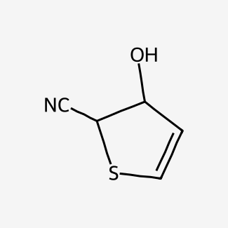 N#CC1SC=CC1O